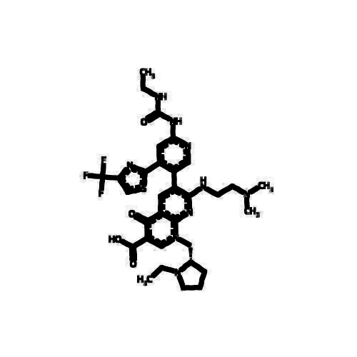 CCNC(=O)Nc1cc(-c2nc(C(F)(F)F)cs2)c(-c2cc3c(=O)c(C(=O)O)cn(C[C@@H]4CCCN4CC)c3nc2NCCN(C)C)cn1